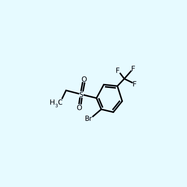 CCS(=O)(=O)c1cc(C(F)(F)F)ccc1Br